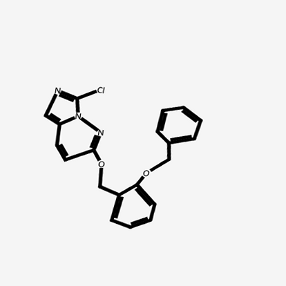 Clc1ncc2ccc(OCc3ccccc3OCc3ccccc3)nn12